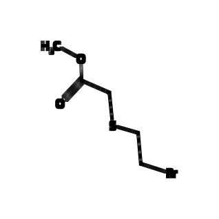 COC(=O)CSCCBr